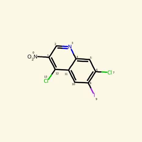 O=[N+]([O-])c1cnc2cc(Cl)c(I)cc2c1Cl